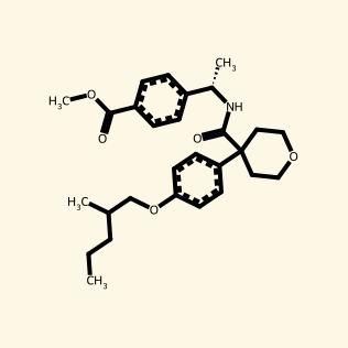 CCCC(C)COc1ccc(C2(C(=O)N[C@@H](C)c3ccc(C(=O)OC)cc3)CCOCC2)cc1